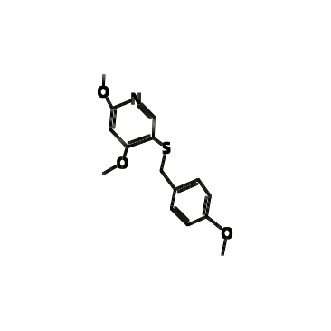 COc1ccc(CSc2cnc(OC)cc2OC)cc1